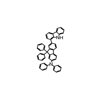 c1ccc(N(c2ccccc2)c2ccc3c(c2)C(c2ccccc2)(c2ccccc2)c2cc(-c4cccc5c4[nH]c4ccccc45)ccc2-3)cc1